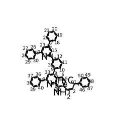 CC(/C=C\c1ccc2c(-c3cccc(-c4cc(-c5ccccc5)cc(-c5ccccc5)n4)c3)cc(-c3ccccc3)nc2c1N)c1ccccc1